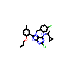 C=CCOc1ccc(C)cc1-c1nc2nc(Cl)nc(NC(C)C3CC3)c2n1Cc1ccc(Cl)cc1